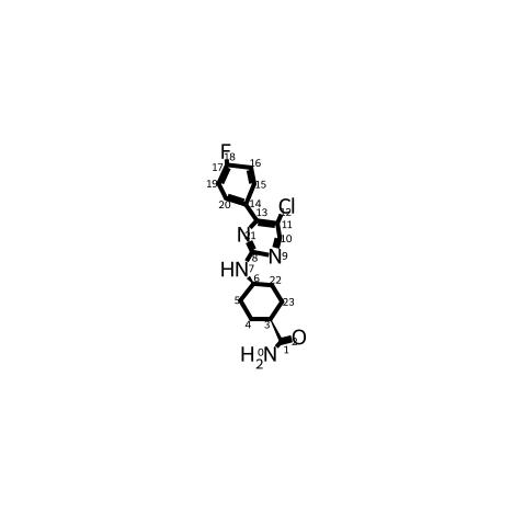 NC(=O)[C@H]1CC[C@@H](Nc2ncc(Cl)c(-c3ccc(F)cc3)n2)CC1